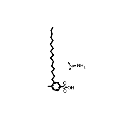 CCCCCCCCCCCCCCCCc1cc(S(=O)(=O)O)ccc1C.CN(C)C.N